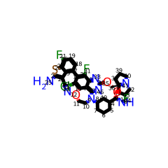 CNC(=O)C1CCCC(N2CCOc3c(Cl)c(-c4ccc(F)c5sc(N)c(C#N)c45)c(F)c4nc(OC[C@@]56CCCN5C[C@H](F)C6)nc2c34)C1